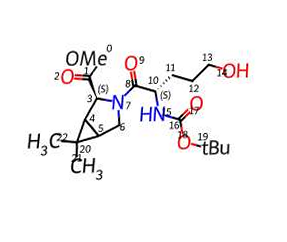 COC(=O)[C@@H]1C2C(CN1C(=O)[C@H](CCCO)NC(=O)OC(C)(C)C)C2(C)C